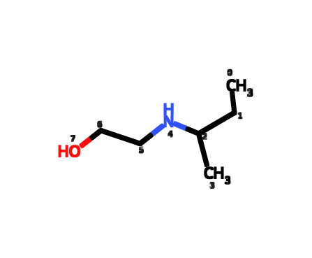 CCC(C)NCCO